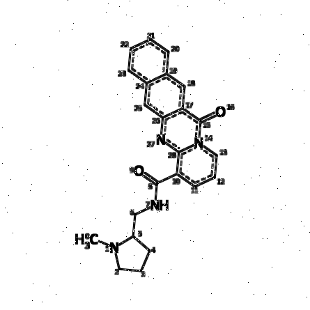 CN1CCCC1CNC(=O)c1cccn2c(=O)c3cc4ccccc4cc3nc12